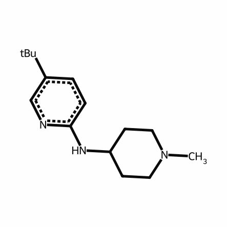 CN1CCC(Nc2ccc(C(C)(C)C)cn2)CC1